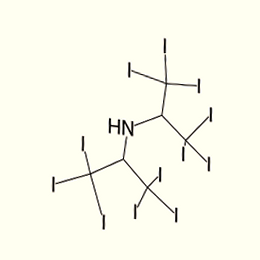 IC(I)(I)C(NC(C(I)(I)I)C(I)(I)I)C(I)(I)I